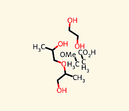 CC(=O)O.CC(O)COC(C)CO.COC.OCCO